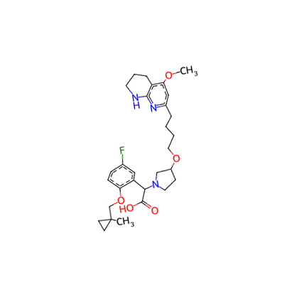 COc1cc(CCCCOC2CCN(C(C(=O)O)c3cc(F)ccc3OCC3(C)CC3)C2)nc2c1CCCN2